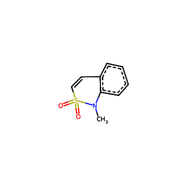 CN1c2ccccc2C=CS1(=O)=O